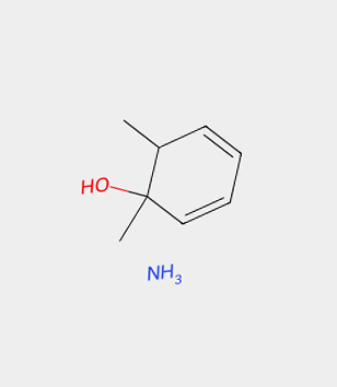 CC1C=CC=CC1(C)O.N